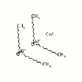 CCCCCCCCCCCCP(=O)([O-])CCCCCCCCCCCC.CCCCCCCCCCCCP(=O)([O-])CCCCCCCCCCCC.[Co+2]